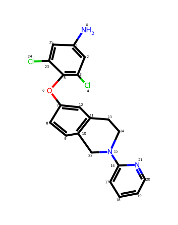 Nc1cc(Cl)c(Oc2ccc3c(c2)CCN(c2ccccn2)C3)c(Cl)c1